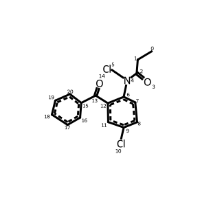 CCC(=O)N(Cl)c1ccc(Cl)cc1C(=O)c1ccccc1